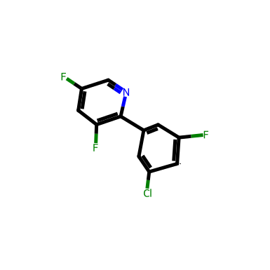 Fc1[c]c(Cl)cc(-c2ncc(F)cc2F)c1